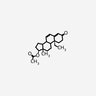 CC[C@]12CCC(=O)C=C1C=CC1C2CC[C@@]2(C)C1CC[C@@H]2OC(C)=O